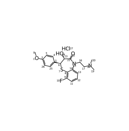 COc1ccc([C@@H]2Sc3c(F)cccc3N(CCN(C)C)C(=O)[C@@H]2O)cc1.Cl